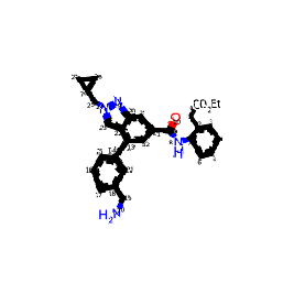 CCOC(=O)Cc1ccccc1NC(=O)c1cc(-c2cccc(CN)c2)c2cn(CC3CC3)nc2c1